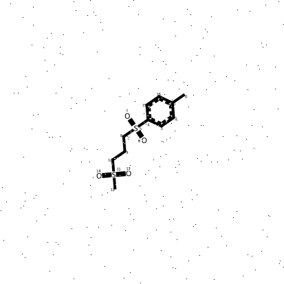 Cc1ccc(S(=O)(=O)CCCS(C)(=O)=O)cc1